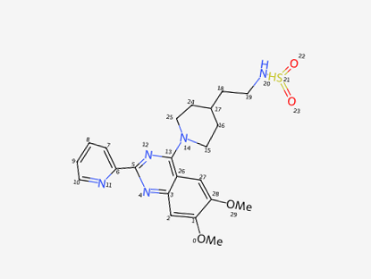 COc1cc2nc(-c3ccccn3)nc(N3CCC(CCN[SH](=O)=O)CC3)c2cc1OC